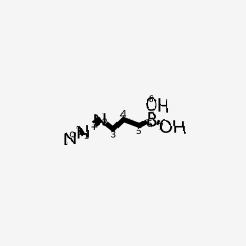 [N-]=[N+]=NCCCB(O)O